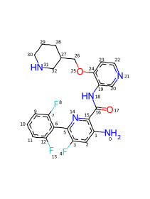 Nc1cc(F)c(-c2c(F)cccc2F)nc1C(=O)Nc1cnccc1OCC1CCCNC1